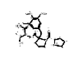 COc1cc(CC2(C(=O)N[C@H](C(N)=O)[C@@H](C)O)CCCN2C(=O)[C@@H]2CCCN2)cc(C)c1OC